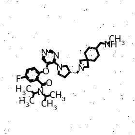 CNCC1CCC2(CC1)CN(C[C@@H]1CCN(c3ncncc3Oc3ccc(F)cc3C(=O)N(C(C)C)C(C)C)C1)C2